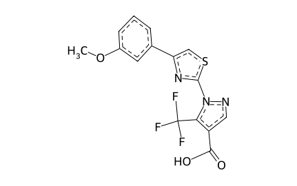 COc1cccc(-c2csc(-n3ncc(C(=O)O)c3C(F)(F)F)n2)c1